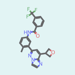 Cc1ccc(NC(=O)c2cccc(C(F)(F)F)c2)cc1-c1cc(C2COC2)c2nccn2n1